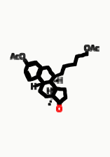 CC(=O)OCCCCC[C@@H]1Cc2cc(OC(C)=O)ccc2[C@H]2CC[C@]3(C)C(=O)CC[C@H]3[C@H]12